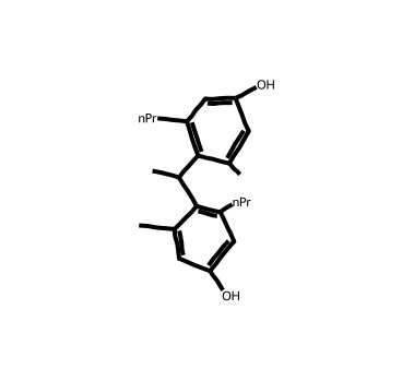 CCCc1cc(O)cc(C)c1C(C)c1c(C)cc(O)cc1CCC